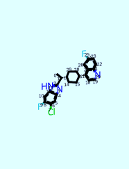 CC(c1nc2cc(Cl)c(F)cc2[nH]1)[C@H]1CC[C@@H](c2ccnc3ccc(F)cc32)CC1